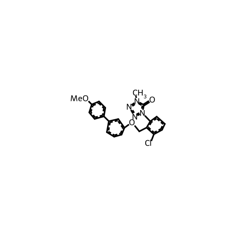 COc1ccc(-c2cccc(OCc3c(Cl)cccc3-n3nnn(C)c3=O)c2)cc1